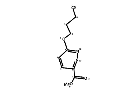 COC(=O)c1ccc(OCCCC#N)nn1